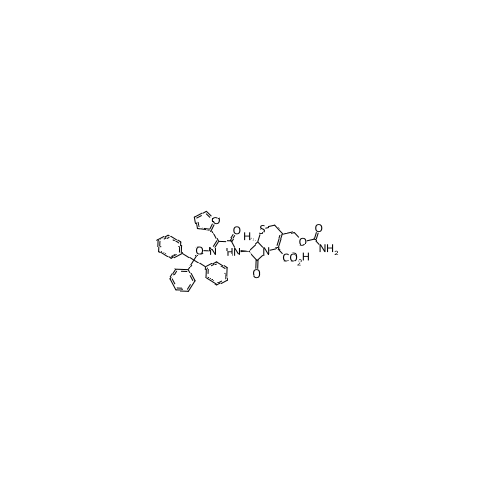 NC(=O)OCC1=C(C(=O)O)N2C(=O)[C@@H](NC(=O)C(=NOC(c3ccccc3)(c3ccccc3)c3ccccc3)c3ccco3)[C@H]2SC1